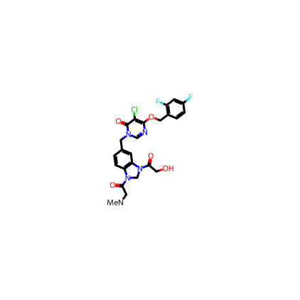 CNCC(=O)N1CN(C(=O)CO)c2cc(Cn3cnc(OCc4ccc(F)cc4F)c(Cl)c3=O)ccc21